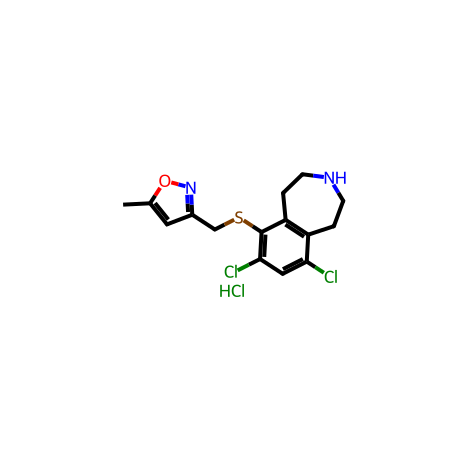 Cc1cc(CSc2c(Cl)cc(Cl)c3c2CCNCC3)no1.Cl